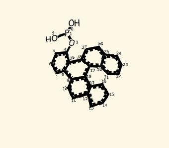 OP(O)Oc1cccc2c3ccc4ccccc4c3c3c4ccccc4ccc3c12